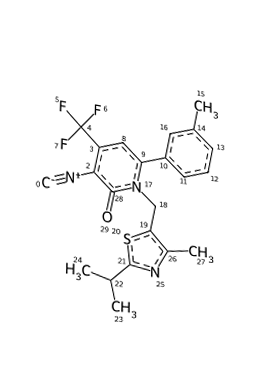 [C-]#[N+]c1c(C(F)(F)F)cc(-c2cccc(C)c2)n(Cc2sc(C(C)C)nc2C)c1=O